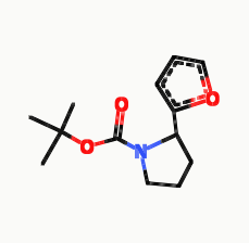 CC(C)(C)OC(=O)N1CCCC1c1ccco1